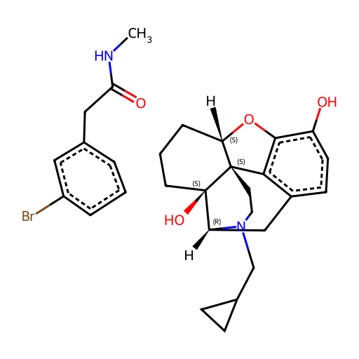 CNC(=O)Cc1cccc(Br)c1.Oc1ccc2c3c1O[C@H]1CCC[C@@]4(O)[C@@H](C2)N(CC2CC2)CC[C@]314